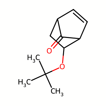 CC(C)(C)OC1CC2C=CC1C2=O